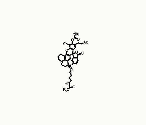 CC(=O)CCc1cc2c(c(Cl)c1OC(=O)C(C)(C)C)Oc1c(cc3c4c1CCCN4CCC3)C21OC(=O)c2ccc([PH](=O)OCCCCNC(=O)C(F)(F)F)cc21